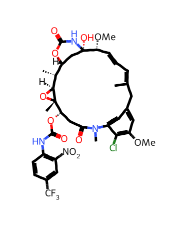 COc1cc2cc(c1Cl)N(C)C(=O)C[C@H](OC(=O)Nc1ccc(C(F)(F)F)cc1[N+](=O)[O-])[C@]1(C)O[C@H]1[C@H](C)[C@@H]1C[C@@](O)(NC(=O)O1)[C@H](OC)/C=C/C=C(\C)C2